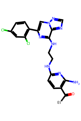 CCC(=O)c1ccc(NCCNc2nc(-c3ccc(Cl)cc3Cl)cn3ncnc23)nc1N